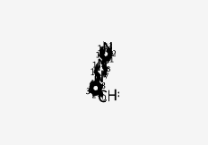 [CH]c1cccc(N2CCN(c3ccncc3)CC2)c1